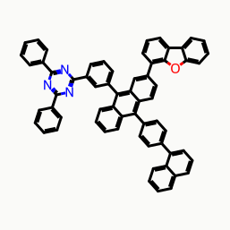 c1ccc(-c2nc(-c3ccccc3)nc(-c3cccc(-c4c5ccccc5c(-c5ccc(-c6cccc7ccccc67)cc5)c5ccc(-c6cccc7c6oc6ccccc67)cc45)c3)n2)cc1